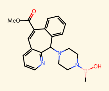 COC(=O)C1=Cc2cccnc2C(N2CCN(B(C)O)CC2)c2ccccc21